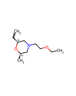 C=C[C@H]1CN(CCOCC)C[C@@H](C)O1